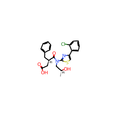 C[C@@H](O)CN(C(=O)[C@@H](CC(=O)O)Cc1ccccc1)c1nc(-c2ccccc2Cl)cs1